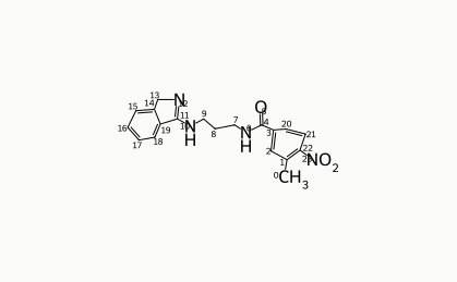 Cc1cc(C(=O)NCCCNC2=NCc3ccccc32)ccc1[N+](=O)[O-]